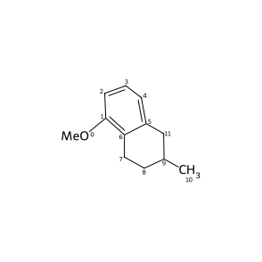 COc1cccc2c1CCC(C)C2